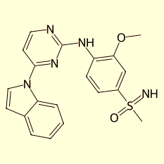 COc1cc(S(C)(=N)=O)ccc1Nc1nccc(-n2ccc3ccccc32)n1